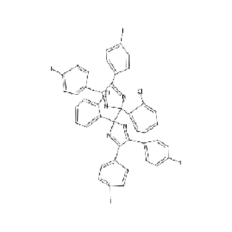 Clc1ccccc1C1(C2(c3ccccc3Cl)N=C(c3ccc(I)cc3)C(c3ccc(I)cc3)=N2)N=C(c2ccc(I)cc2)C(c2ccc(I)cc2)=N1